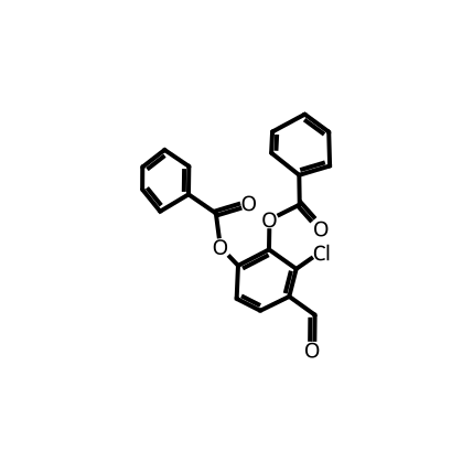 O=Cc1ccc(OC(=O)c2ccccc2)c(OC(=O)c2ccccc2)c1Cl